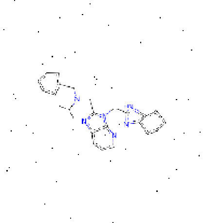 CC(C)N(Cc1ccccc1)Cc1nc2cccnc2n1Cc1nc2ccccc2[nH]1